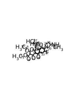 CCOC(=O)C(C(=O)OCC)C(=O)c1cn(C2CC2)c2c(OC)c(N3CC[C@@H](NC)C3)c(F)cc2c1=O.Cl